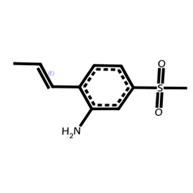 C/C=C/c1ccc(S(C)(=O)=O)cc1N